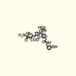 N[C@@H]1C(=O)N2C(C(=O)[O-])=C(/C=C3\CCN(Cc4cc[n+](CC(=O)NCc5cccc(O)c5)cc4)C3=O)CS[C@H]12.O=C(O)C(F)(F)F